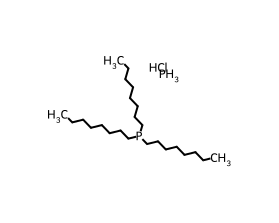 CCCCCCCCP(CCCCCCCC)CCCCCCCC.Cl.P